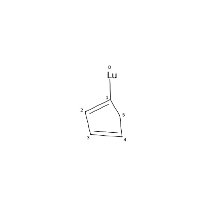 [Lu][C]1=CC=CC1